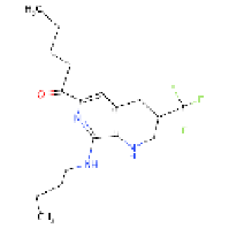 CCCCNc1nc(C(=O)CCCC)cc2c1NCC(C(F)(F)F)C2